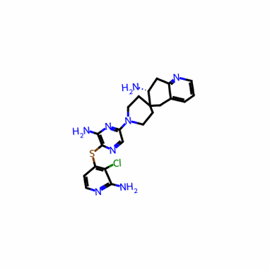 Nc1nc(N2CCC3(CC2)Cc2cccnc2C[C@H]3N)cnc1Sc1ccnc(N)c1Cl